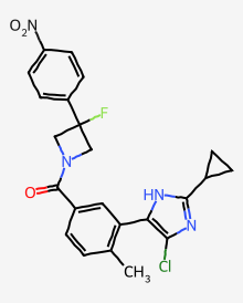 Cc1ccc(C(=O)N2CC(F)(c3ccc([N+](=O)[O-])cc3)C2)cc1-c1[nH]c(C2CC2)nc1Cl